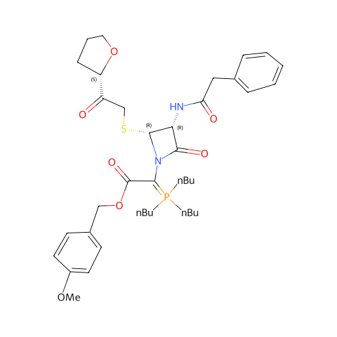 CCCCP(CCCC)(CCCC)=C(C(=O)OCc1ccc(OC)cc1)N1C(=O)[C@@H](NC(=O)Cc2ccccc2)[C@H]1SCC(=O)[C@@H]1CCCO1